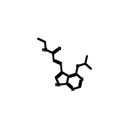 CCNC(=O)C=Cc1c[nH]c2ncnc(OC(C)C)c12